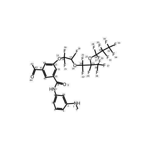 CNc1cccc(NC(=O)c2cc(OC(F)(F)C(F)OC(F)(F)C(F)(OC(F)(F)C(F)(F)C(F)(F)F)C(F)(F)F)cc(C(C)=O)c2)c1